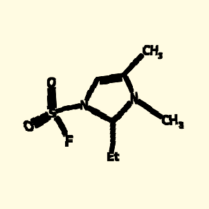 CCC1N(C)C(C)=CN1S(=O)(=O)F